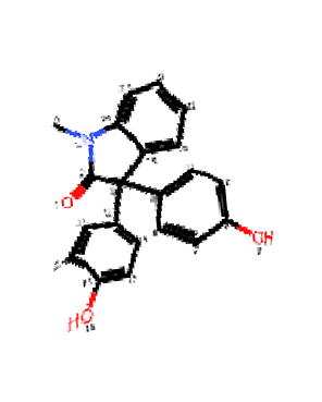 CN1C(=O)C(c2ccc(O)cc2)(c2ccc(O)cc2)c2ccccc21